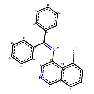 Clc1cccc2cncc(N=C(c3ccccc3)c3ccccc3)c12